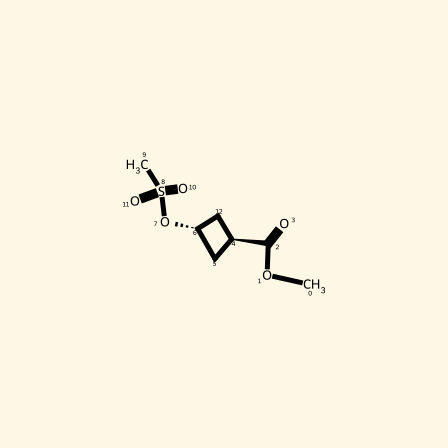 COC(=O)[C@H]1C[C@H](OS(C)(=O)=O)C1